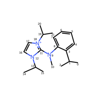 CC(C)c1ccccc1N(C)c1n(C(C)C)cc[n+]1C(C)C